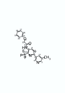 Cc1cncc(-c2ncc(NC(=O)COc3ccccc3)c(C(F)(F)F)n2)c1